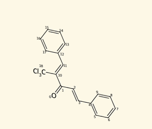 O=C(C=Cc1ccccc1)C(=Cc1ccccc1)C(Cl)(Cl)Cl